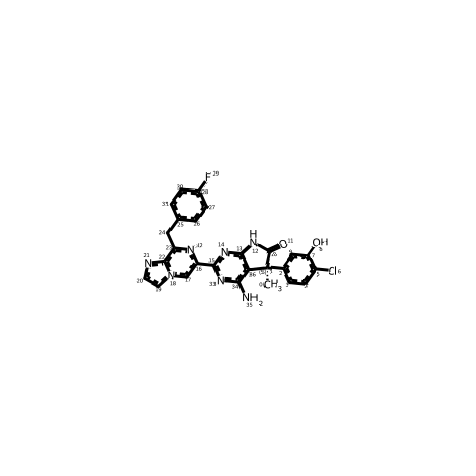 C[C@@]1(c2ccc(Cl)c(O)c2)C(=O)Nc2nc(-c3cn4ccnc4c(Cc4ccc(F)cc4)n3)nc(N)c21